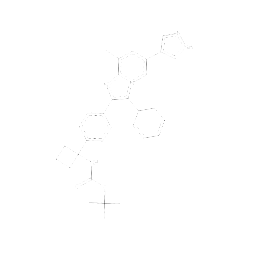 Cc1cc(-c2cn[nH]c2)cn2c(C3C=CC=CC3)c(-c3ccc(C4(NC(=O)OC(C)(C)C)CCC4)cc3)nc12